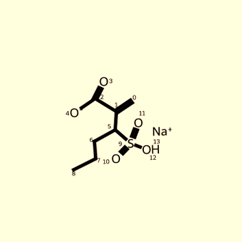 C=C(C(=O)[O-])C(CCC)S(=O)(=O)O.[Na+]